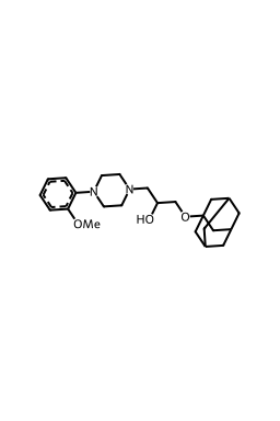 COc1ccccc1N1CCN(CC(O)COC23CC4CC(CC(C4)C2)C3)CC1